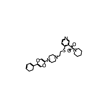 O=S(=O)(c1cnccc1SCCN1CCN(C2=COC(C3=CC=CCC3)=CO2)CC1)N1CCCCC1